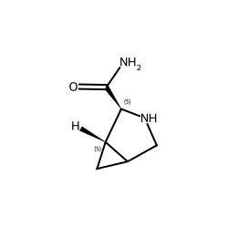 NC(=O)[C@H]1NCC2C[C@@H]21